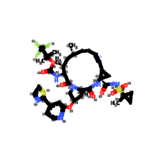 C[C@@H]1CC/C=C\C2C[C@@]2(C(=O)NS(=O)(=O)C2(C)CC2)NC(=O)[C@@H]2C[C@@H](Oc3cc(-c4nccs4)ccn3)CN2C(=O)[C@@H](NC(=O)OC(C)(C)C(F)(F)F)[C@H](C)C1